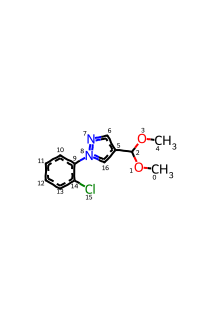 COC(OC)c1cnn(-c2ccccc2Cl)c1